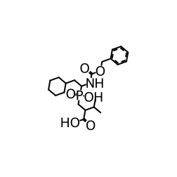 CC(C)C(CP(=O)(O)C(CC1CCCCC1)NC(=O)OCc1ccccc1)C(=O)O